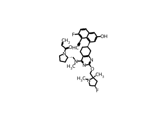 C#Cc1c(F)ccc2cc(O)cc([C@@H]3CCc4c(nc(OC[C@]5(C)C[C@@H](F)CN5C)nc4N(C)C[C@@H]4CCCN4C(=O)C=C)C3)c12